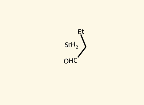 CCCC=O.[SrH2]